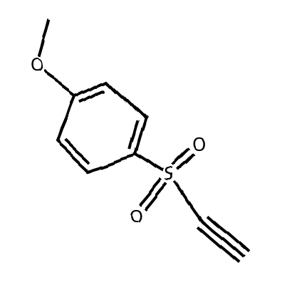 C#CS(=O)(=O)c1ccc(OC)cc1